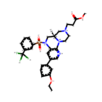 CCOc1cccc(-c2cnc3c(c2)N(S(=O)(=O)c2cccc(C(F)(F)F)c2)C[C@@H]2CN(CCC(=O)OC)CCN32)c1